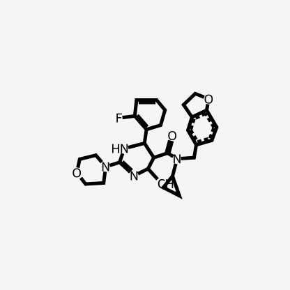 CC1N=C(N2CCOCC2)NC(C2=C(F)C=CCC2)C1C(=O)N(Cc1ccc2c(c1)CCO2)C1CC1